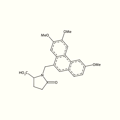 COc1ccc2cc(CN3C(=O)CCC3C(=O)O)c3cc(OC)c(OC)cc3c2c1